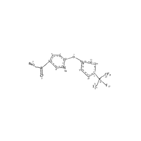 COC(=O)c1ccc(Oc2ccc(C(F)(C(F)(F)F)C(F)(F)F)cc2)nc1